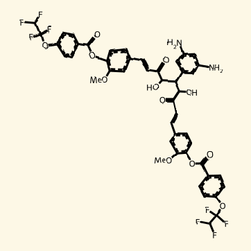 COc1cc(/C=C/C(=O)C(O)C(c2cc(N)cc(N)c2)C(O)C(=O)/C=C/c2ccc(OC(=O)c3ccc(OC(F)(F)C(F)F)cc3)c(OC)c2)ccc1OC(=O)c1ccc(OC(F)(F)C(F)F)cc1